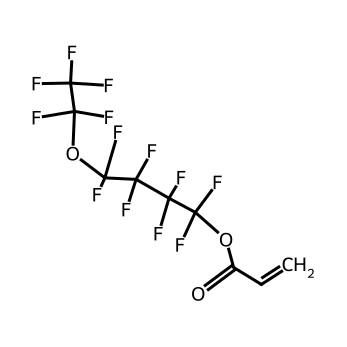 C=CC(=O)OC(F)(F)C(F)(F)C(F)(F)C(F)(F)OC(F)(F)C(F)(F)F